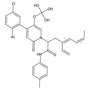 C=C/C(=C\C=C/C)CC(C(=O)Nc1ccc(C)cc1)n1cc(OC(O)(O)O)c(-c2cc(Cl)ccc2C(C)=O)cc1=O